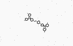 Cc1ccc(N(c2ccc(/C=C/c3ccc(-c4ccc(N(c5ccc(C)cc5)c5cccc(C)c5)cc4)cc3)cc2)c2cccc(C)c2)cc1